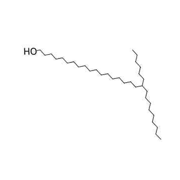 CCCCCCCCCC(CCCCCC)CCCCCCCCCCCCCCCCCCO